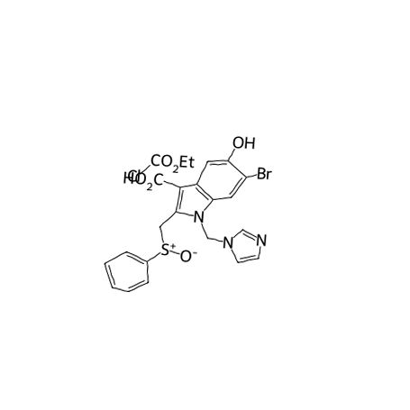 CCOC(=O)Cl.O=C(O)c1c(C[S+]([O-])c2ccccc2)n(Cn2ccnc2)c2cc(Br)c(O)cc12